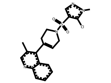 Cc1cnc2ccccc2c1C1=CCN(S(=O)(=O)c2cnn(C)c2Cl)CC1